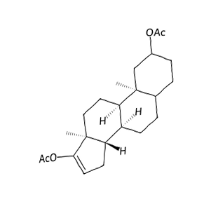 CC(=O)OC1=CC[C@H]2[C@@H]3CCC4CCC(OC(C)=O)C[C@]4(C)[C@@H]3CC[C@]12C